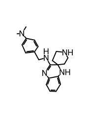 CN(C)c1ccc(CNC2=Nc3ccccc3NC23CCNCC3)cc1